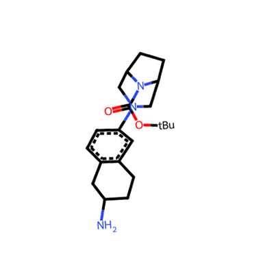 CC(C)(C)OC(=O)N1C2CCC1CN(c1ccc3c(c1)CCC(N)C3)C2